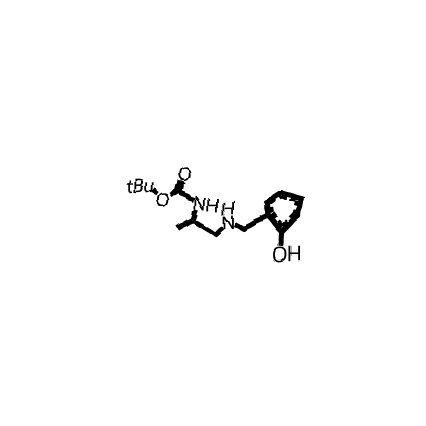 CC(CNCc1ccccc1O)NC(=O)OC(C)(C)C